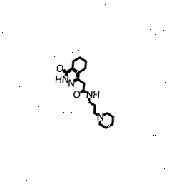 O=C(Cc1n[nH]c(=O)c2c1CCCC2)NCCCN1CCCCC1